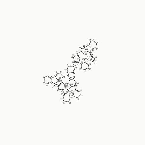 CC1(C)c2ccccc2-c2ccc(N(c3ccc(-c4cccc5c4-c4ccccc4C54c5ccccc5-n5c6ccccc6c6cccc4c65)cc3)c3ccc4c(c3)C3(c5ccccc5-c5ccccc53)c3ccccc3-4)cc21